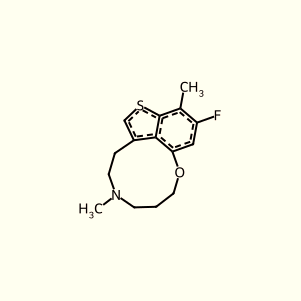 Cc1c(F)cc2c3c(csc13)CCN(C)CCCO2